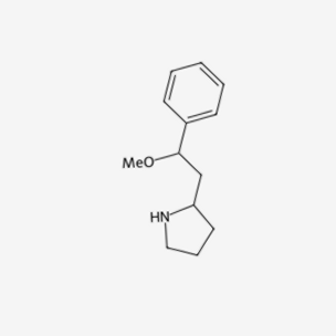 COC(CC1CCCN1)c1ccccc1